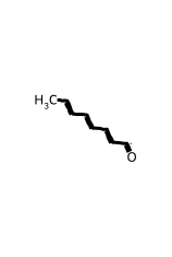 C/C=C/C=C/C=C/[C]=O